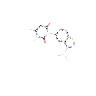 CCN(CC)c1nsc2ccc(-n3c(=O)cc(C(F)(F)F)n(C)c3=O)cc12